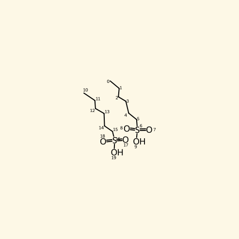 CCCCCCS(=O)(=O)O.CCCCCCS(=O)(=O)O